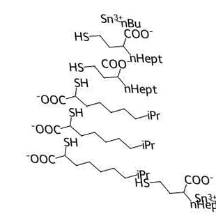 CC(C)CCCCCC(S)C(=O)[O-].CC(C)CCCCCC(S)C(=O)[O-].CC(C)CCCCCC(S)C(=O)[O-].CCCCCCCC(CCS)C(=O)[O-].CCCCCCCC(CCS)C(=O)[O-].CCCCCCCC(CCS)C(=O)[O-].CCC[CH2][Sn+3].CCC[CH2][Sn+3]